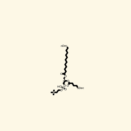 CCCCCCCCCCCCCCCCCCCCCC(=O)OC[C@H](COP(=O)(O)OCC[N+](C)(C)C)OC(=O)CCCCCCCCCCCCC